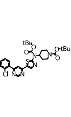 CC(C)(C)OC(=O)N1CCC(N(C(=O)OC(C)(C)C)c2ncc(-c3cc(-c4ccccc4Cl)ncn3)s2)CC1